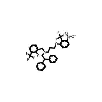 O=[N+]([O-])c1cccc(OCCCN(Cc2cccc(C(F)(F)F)c2Cl)CC(c2ccccc2)c2ccccc2)c1C(F)(F)F